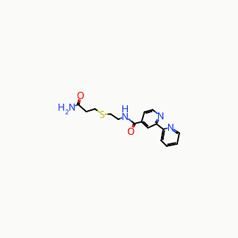 NC(=O)CCSCCNC(=O)c1ccnc(-c2ccccn2)c1